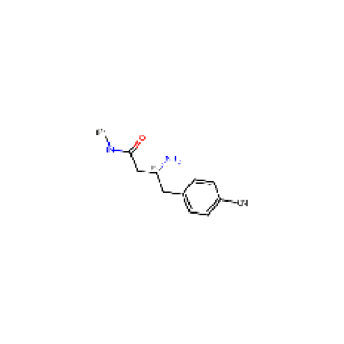 CC(C)NC(=O)C[C@H](N)Cc1ccc(C#N)cc1